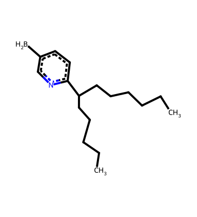 Bc1ccc(C(CCCCC)CCCCCC)nc1